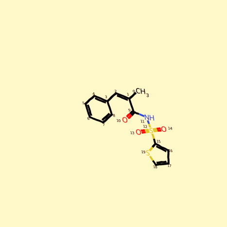 CC(=Cc1ccccc1)C(=O)NS(=O)(=O)c1cccs1